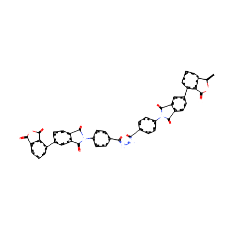 C=C1OC(=O)c2c1cccc2-c1ccc2c(c1)C(=O)N(c1ccc(-c3nnc(-c4ccc(N5C(=O)c6ccc(-c7cccc8c7C(=O)OC8=O)cc6C5=O)cc4)o3)cc1)C2=O